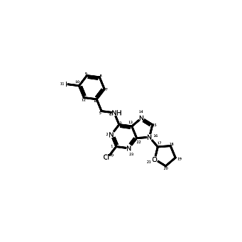 Clc1nc(NCc2cccc(I)c2)c2ncn(C3CCCO3)c2n1